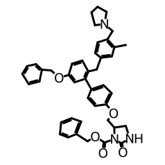 Cc1cc(Cc2ccc(OCc3ccccc3)cc2-c2ccc(OCC3CNC(=O)N3C(=O)OCc3ccccc3)cc2)ccc1CN1CCCC1